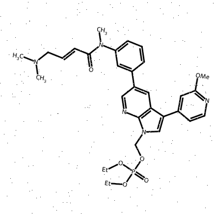 CCOP(=O)(OCC)OCn1cc(-c2ccnc(OC)c2)c2cc(-c3cccc(N(C)C(=O)C=CCN(C)C)c3)cnc21